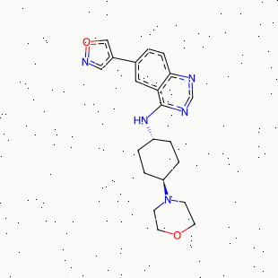 c1nc(N[C@H]2CC[C@H](N3CCOCC3)CC2)c2cc(-c3cnoc3)ccc2n1